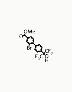 COC(=O)c1ccc(-c2ccc(C(O)(C(F)(F)F)C(F)(F)F)cc2)c(Br)c1